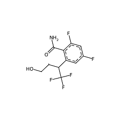 NC(=O)c1c(F)cc(F)cc1C([CH]CO)C(F)(F)F